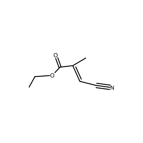 CCOC(=O)C(C)=CC#N